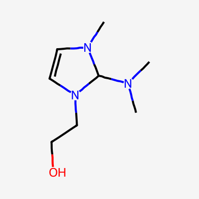 CN(C)C1N(C)C=CN1CCO